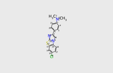 CN(C)c1ccc(-c2cn3c(n2)sc2cc(Cl)ccc23)cc1